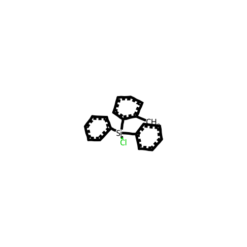 Cc1ccccc1[Si](Cl)(c1ccccc1)c1ccccc1